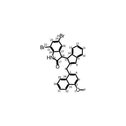 COc1ccc(CC2=Cc3ccccc3C2C2C(=O)Nc3c(Br)cc(Br)cc32)c2ccccc12